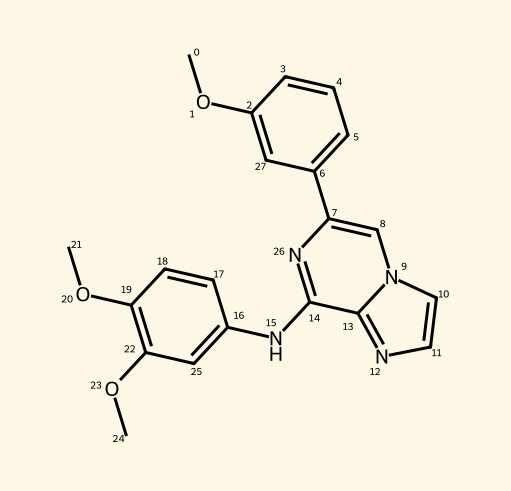 COc1cccc(-c2cn3ccnc3c(Nc3ccc(OC)c(OC)c3)n2)c1